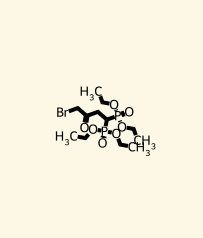 CCOP(=O)(OCC)C(CC(=O)CBr)P(=O)(OCC)OCC